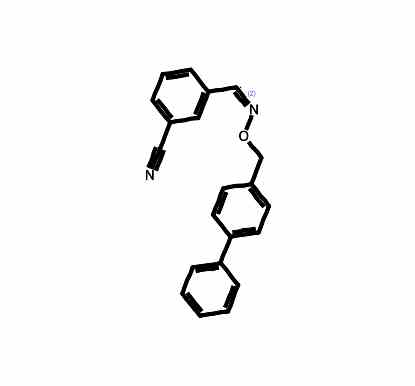 N#Cc1cccc(/[C]=N\OCc2ccc(-c3ccccc3)cc2)c1